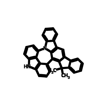 CC1(C)c2ccccc2-c2cc3c4ccccc4n4c5cccc6[nH]c7cccc(c(c21)c34)c7c65